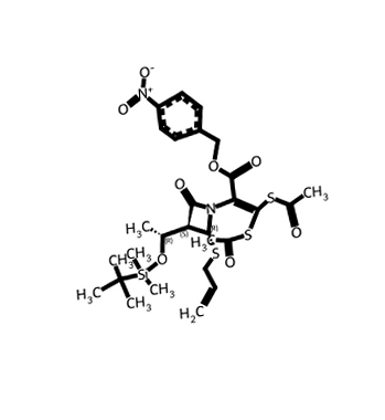 C=CCS[C@@H]1[C@@H]([C@@H](C)O[Si](C)(C)C(C)(C)C)C(=O)N1C(C(=O)OCc1ccc([N+](=O)[O-])cc1)=C(SC(C)=O)SC(C)=O